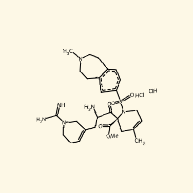 COC(=O)[C@]1(C(=O)C(N)CC2=CCCN(C(=N)N)C2)CC(C)=CCN1S(=O)(=O)c1ccc2c(c1)CCN(C)CC2.Cl.Cl